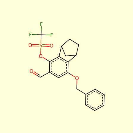 O=Cc1cc(OCc2ccccc2)c2c(c1OS(=O)(=O)C(F)(F)F)C1CCC2C1